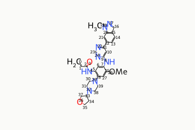 C=CC(=O)Nc1cc(Nc2cc(-c3ccc4cnn(C)c4c3)ncn2)c(OC)cc1N1CCN(C2CCOC2)CC1